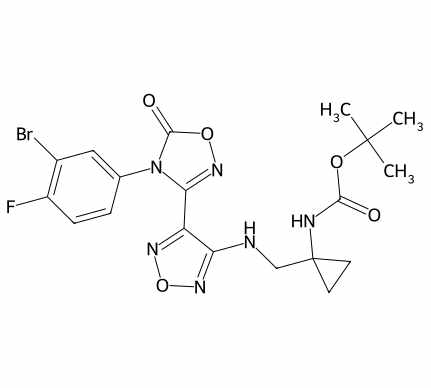 CC(C)(C)OC(=O)NC1(CNc2nonc2-c2noc(=O)n2-c2ccc(F)c(Br)c2)CC1